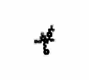 COc1nc(Cl)nc2c1c(COCc1ccccc1)nn2C(c1ccc(OC(F)F)cc1)C(C)C